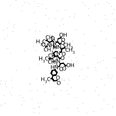 CC(=O)N[C@H](C(=O)N[C@@H](CC(=O)O)C(=O)N[C@H](C(=O)N1CC[C@H](CC(C)(C)C)C1C(=O)NC(CC(=O)O)C(=O)Nc1ccc2c(C)cc(=O)oc2c1)C(C)C)C(C)C